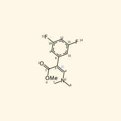 COC(=O)/C(=C\N(C)C)c1cc(F)cc(F)c1